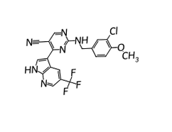 COc1ccc(CNc2ncc(C#N)c(-c3c[nH]c4ncc(C(F)(F)F)cc34)n2)cc1Cl